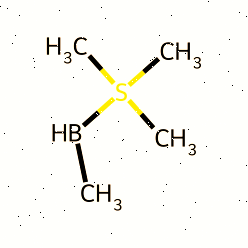 CBS(C)(C)C